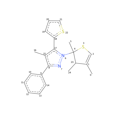 CC1=CSC(C)(n2nc(-c3ccccc3)c(C)c2-c2cccs2)C1C